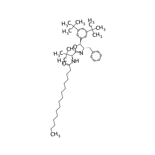 CCCCCCCCCCCCCCCC(=O)N[C@H](C1=N[C@@H](Cc2ccccc2)[C@H](c2cc(C(C)(C)C)cc(C(C)(C)C)c2)O1)C(C)(C)C